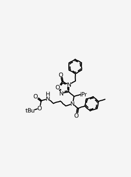 Cc1ccc(C(=O)N(CCCNC(=O)OC(C)(C)C)C(c2noc(=O)n2Cc2ccccc2)C(C)C)cc1